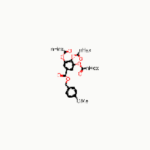 CCCCCCC(=O)Oc1cc(C(=O)OCc2ccc(OC)cc2)cc(OC(=O)CCCCCC)c1OC(=O)CCCCCC